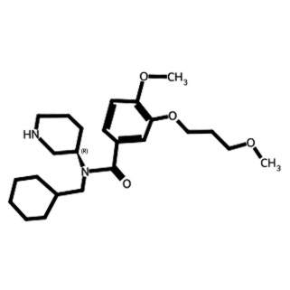 COCCCOc1cc(C(=O)N(CC2CCCCC2)[C@@H]2CCCNC2)ccc1OC